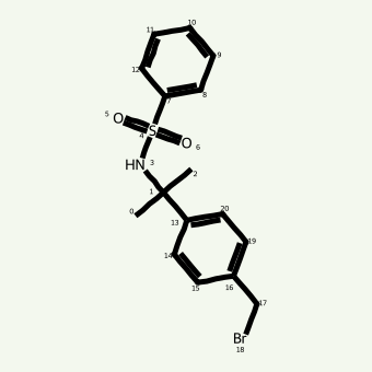 CC(C)(NS(=O)(=O)c1ccccc1)c1ccc(CBr)cc1